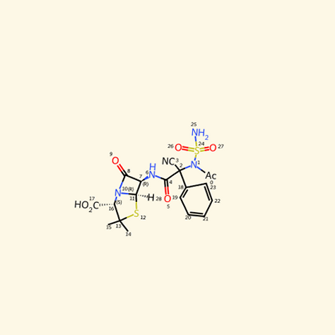 CC(=O)N(C(C#N)(C(=O)N[C@@H]1C(=O)N2[C@@H]1SC(C)(C)[C@@H]2C(=O)O)c1ccccc1)S(N)(=O)=O